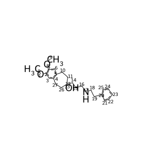 COc1cc2c(cc1OC)CCC(O)(CCCNCCc1ccccc1)CC2